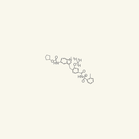 [2H]C([2H])([2H])Oc1cc(C(=O)NS(=O)(=O)c2ccccc2C)ccc1Cc1cn(C)c2ccc(NC(=O)OC3CCCC3)cc12